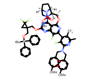 COc1ccc(CN(Cc2ccc(OC)cc2)c2nc(C)c(C(F)(F)F)c(-c3nc4c5c(nc(OCC6(CO[Si](c7ccccc7)(c7ccccc7)C(C)(C)C)CC6(F)F)nc5c3F)N3C[C@H]5CC[C@@H]([C@H]3[C@H](C)O4)N5C(=O)OC(C)(C)C)c2F)cc1